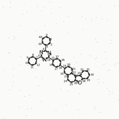 c1ccc(-c2nc(-c3ccccc3)nc(-c3ccc(-c4ccc5c(ccc6oc7ccccc7c65)c4)cc3)n2)cc1